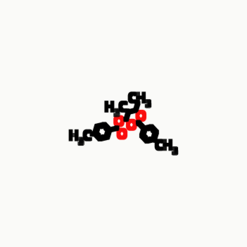 CCC(OC(=O)c1ccc(C)cc1)C(C)COC(=O)c1ccc(C)cc1